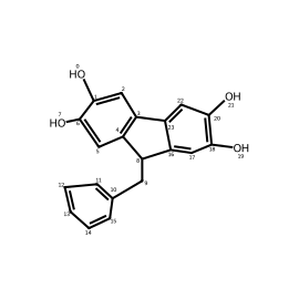 Oc1cc2c(cc1O)C(Cc1ccccc1)c1cc(O)c(O)cc1-2